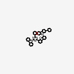 c1ccc(-c2ccc3c4ccccc4n(-c4cccc5c4oc4c(-c6nc(-c7ccccc7)nc(-n7c8ccccc8c8ccccc87)n6)cccc45)c3c2)cc1